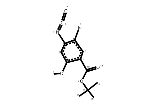 COc1cc(N=C=O)c(Br)cc1C(=O)OC(C)(C)C